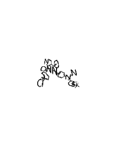 CC(C)(C)[Si](C)(C)OCCN(C#N)c1ccc(NC(=O)c2ccncc2NC(=O)c2ccc(Cl)s2)cc1